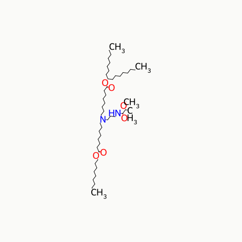 CCCCCCCCCOC(=O)CCCCCCCN(CCCCCCCC(=O)OC(CCCCCCCC)CCCCCCCC)CCCNC(=O)C(C)OC